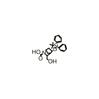 CC(C)(C)[Si](OC1CC2CC1C(CO)N2C(=O)O)(c1ccccc1)c1ccccc1